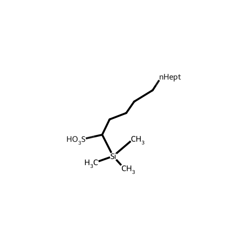 CCCCCCCCCCCC([Si](C)(C)C)S(=O)(=O)O